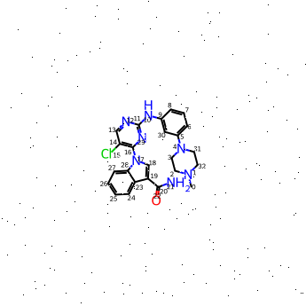 CN1CCN(c2cccc(Nc3ncc(Cl)c(-n4cc(C(N)=O)c5ccccc54)n3)c2)CC1